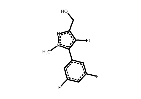 CCc1c(CO)nn(C)c1-c1cc(F)cc(F)c1